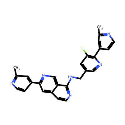 Cc1cc(-c2cc3ccnc(NCc4cnc(-c5ccnc(C(F)(F)F)c5)c(F)c4)c3cn2)ccn1